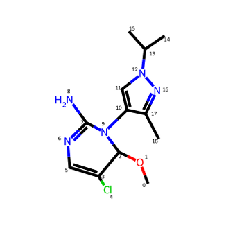 COC1C(Cl)=CN=C(N)N1c1cn(C(C)C)nc1C